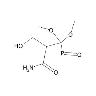 COC(OC)(P=O)C(CO)C(N)=O